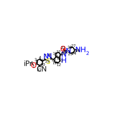 CC(C)OC1=CC=C(c2nnc(C3C=CC=C4C3CC[C@@H]4NC(=O)N3CCC(N)CC3)s2)CC1C#N